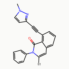 CCc1cc2cccc(C#Cc3ccn(C)n3)c2c(=O)n1-c1ccccc1